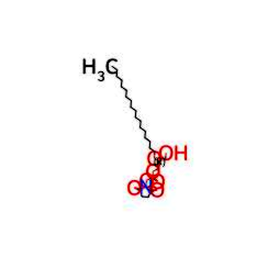 CCCCCCCCCCCCCCCCCCO[C@H](CO)COC(=O)ON1C(=O)CCC1=O